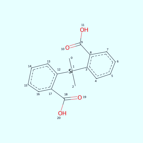 C[Si](C)(c1ccccc1C(=O)O)c1ccccc1C(=O)O